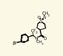 CN=S1(=O)CCC(C(=O)N(C)[C@@H](c2ccc(Br)cc2)C(F)(F)F)CC1